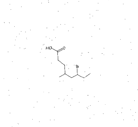 CCC(Br)CC(C)CCC(=O)O